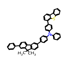 CC1(C)c2ccc(-c3ccc(N(c4ccccc4)c4ccc(-c5cccc6c5sc5ccccc56)cc4)cc3)cc2-c2ccc(-c3ccccc3)cc21